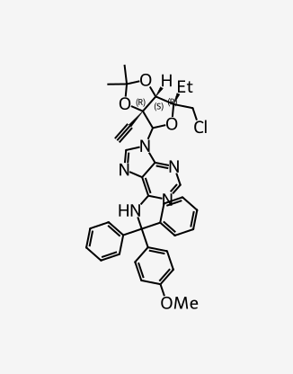 C#C[C@@]12OC(C)(C)O[C@@H]1[C@](CC)(CCl)OC2n1cnc2c(NC(c3ccccc3)(c3ccccc3)c3ccc(OC)cc3)ncnc21